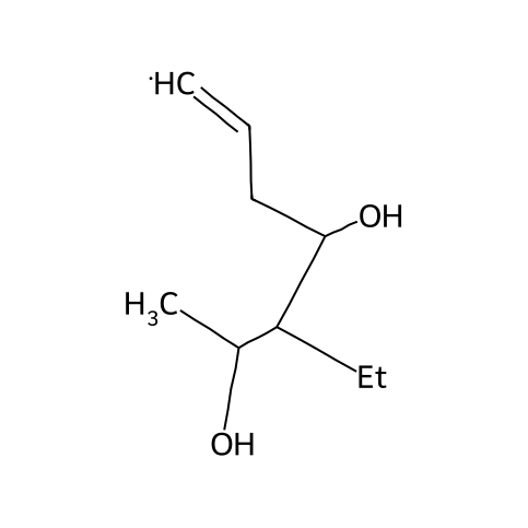 [CH]=CCC(O)C(CC)C(C)O